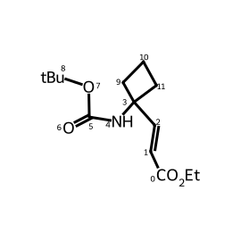 CCOC(=O)C=CC1(NC(=O)OC(C)(C)C)CCC1